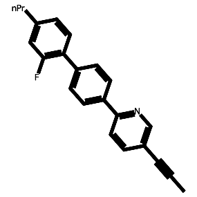 CC#Cc1ccc(-c2ccc(-c3ccc(CCC)cc3F)cc2)nc1